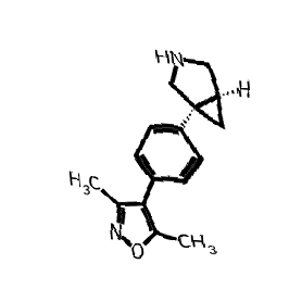 Cc1noc(C)c1-c1ccc([C@]23CNC[C@H]2C3)cc1